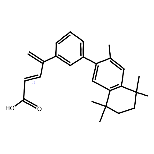 C=C(/C=C/C(=O)O)c1cccc(-c2cc3c(cc2C)C(C)(C)CCC3(C)C)c1